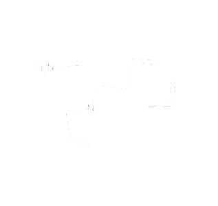 NC[C@H](c1ccccc1)N1CC=CC1